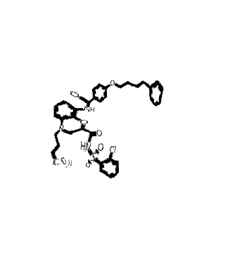 O=C(O)CCCN1CC(C(=O)NS(=O)(=O)c2ccccc2Cl)Oc2c(NC(=O)c3ccc(OCCCCc4ccccc4)cc3)cccc21